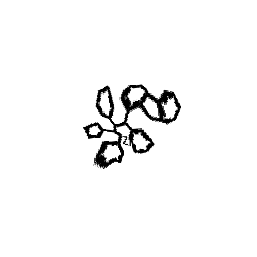 [Zr][C](=C(C(=C(c1ccccc1)c1cccc2c1Cc1ccccc1-2)c1ccccc1)c1ccccc1)c1ccccc1